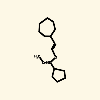 CO[SiH](OC=CC1CCCCCC1)C1CCCC1